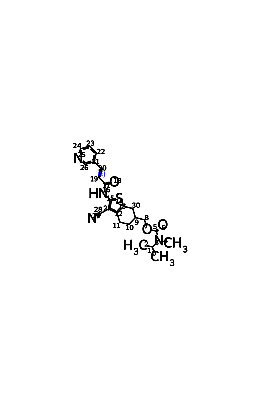 CC(C)N(C)C(=O)OCC1CCc2c(sc(NC(=O)/C=C/c3cccnc3)c2C#N)C1